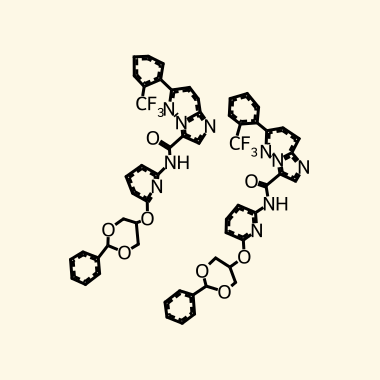 O=C(Nc1cccc(OC2COC(c3ccccc3)OC2)n1)c1cnc2ccc(-c3ccccc3C(F)(F)F)nn12.O=C(Nc1cccc(OC2COC(c3ccccc3)OC2)n1)c1cnc2ccc(-c3ccccc3C(F)(F)F)nn12